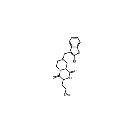 CCc1sc2ccccc2c1CN1CCN2C(=O)C(CCSC)NC(=O)C2C1